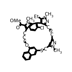 CCc1c2c(nn1C)COCc1cc(n(C)n1)CSc1cc(c3ccccc3c1)OCCCc1c(C(=O)OC)n(C)c3c-2c(Cl)ccc13